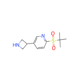 CC(C)(C)S(=O)(=O)c1ccc(C2CNC2)cn1